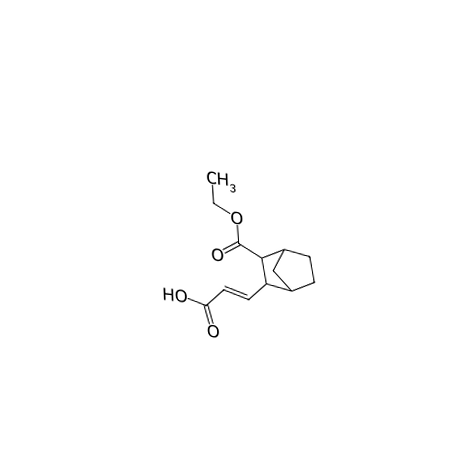 CCOC(=O)C1C2CCC(C2)C1C=CC(=O)O